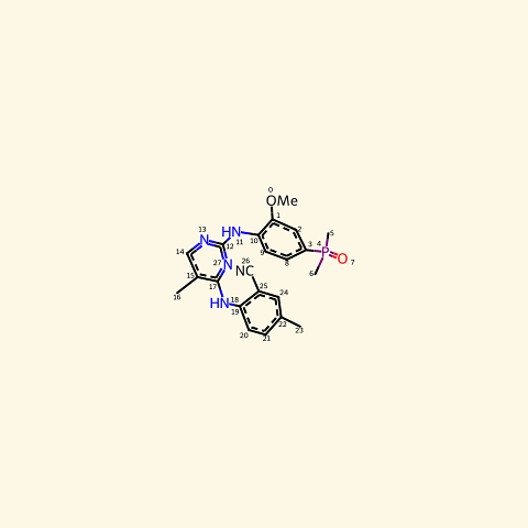 COc1cc(P(C)(C)=O)ccc1Nc1ncc(C)c(Nc2ccc(C)cc2C#N)n1